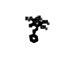 CC(C)C(=O)[C@H](COc1ccccc1)C(C)(C)N